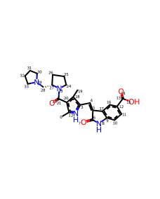 Cc1[nH]c(/C=C2\C(=O)Nc3ccc(C(=O)O)cc32)c(C)c1C(=O)N1CCC[C@H]1CN1CCCC1